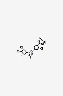 N#CC1(NC(=O)c2ccc(/C=C/C(c3cc(Cl)c(Cl)c(Cl)c3)C(F)(F)F)cc2Cl)CC1